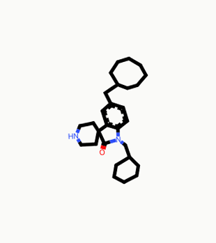 O=C1N(CC2CCCCC2)c2ccc(CC3CCCCCCC3)cc2C12CCNCC2